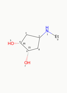 [CH2]CNC1C[C@@H](O)[C@@H](O)C1